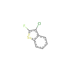 Fc1sc2ccccc2c1Cl